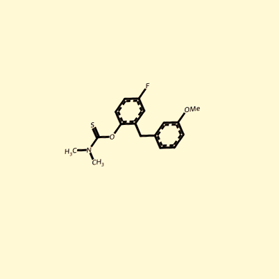 COc1cccc(Cc2cc(F)ccc2OC(=S)N(C)C)c1